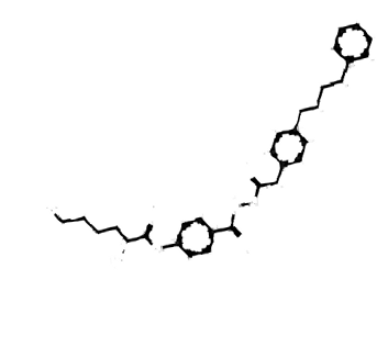 NCCCC[C@H](N)C(=O)Nc1ccc(C(=O)ONC(=O)Cc2ccc(CCCCc3ccccc3)cc2)cc1